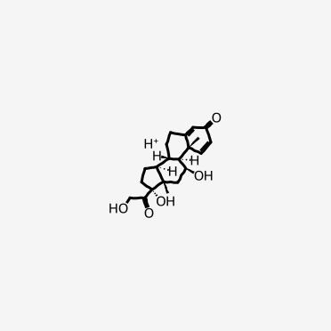 C[C@]12C=CC(=O)C=C1CC[C@@H]1[C@@H]2[C@@H](O)C[C@@]2(C)[C@H]1CC[C@]2(O)C(=O)CO.[H+]